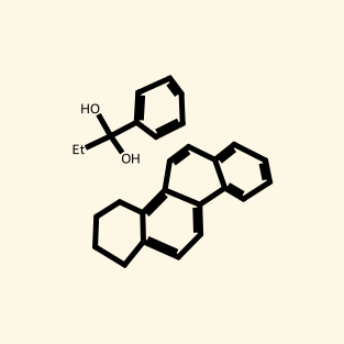 CCC(O)(O)c1ccccc1.c1ccc2c(c1)ccc1c3c(ccc12)CCCC3